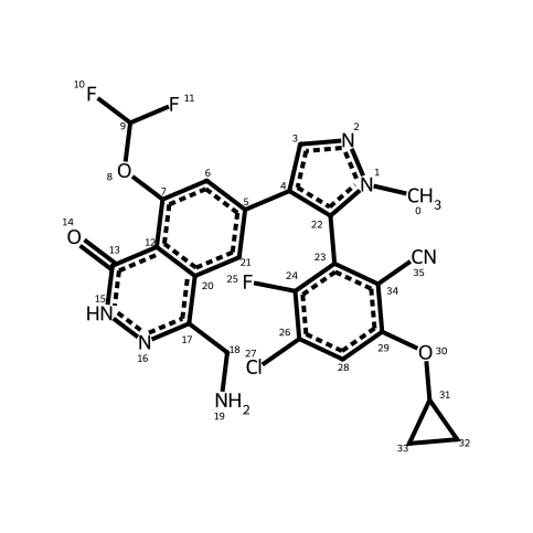 Cn1ncc(-c2cc(OC(F)F)c3c(=O)[nH]nc(CN)c3c2)c1-c1c(F)c(Cl)cc(OC2CC2)c1C#N